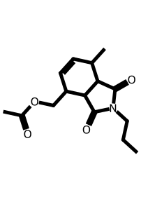 CCCN1C(=O)C2C(C)C=CC(COC(C)=O)C2C1=O